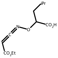 CCOC(=O)C=C=NOC(CC(C)C)C(=O)O